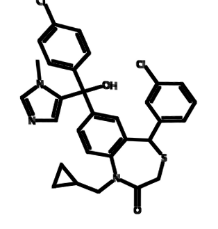 Cn1cncc1C(O)(c1ccc(Cl)cc1)c1ccc2c(c1)C(c1cccc(Cl)c1)SCC(=O)N2CC1CC1